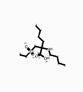 CCCCNC(CCCC)(CS(=O)(=O)CC)C(=O)O